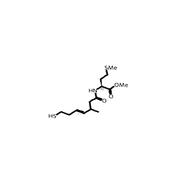 COC(=O)[C@H](CCSC)NC(=O)CC(C)/C=C/CCS